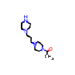 CC(=O)N1CCN(CCCN2CCNCC2)CC1